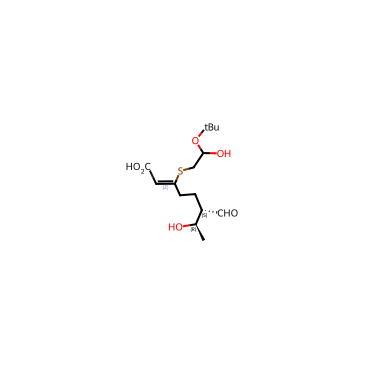 C[C@@H](O)[C@@H](C=O)CC/C(=C/C(=O)O)SCC(O)OC(C)(C)C